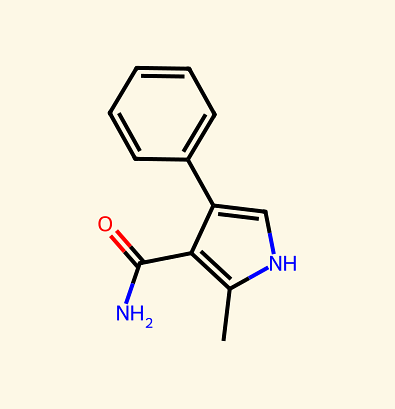 Cc1[nH]cc(-c2ccccc2)c1C(N)=O